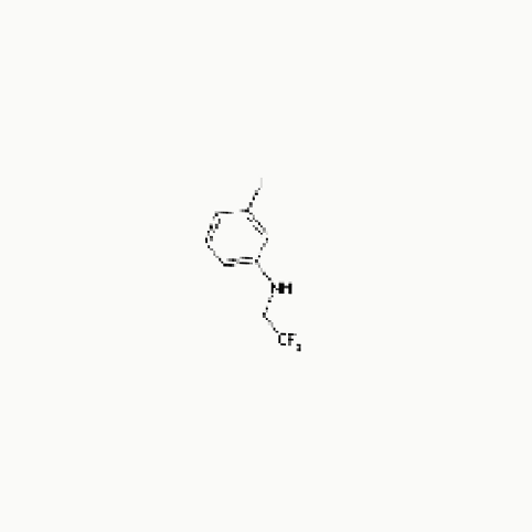 FC(F)(F)CNc1cccc(I)c1